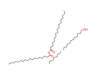 CCCCCCCC.CCCCCCCCCCCCCCCCCC(=O)OC(=O)CCCCCCCCCCCCCCCCC.CCCCCCCCCCCCO